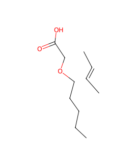 CC=CC.CCCCCOCC(=O)O